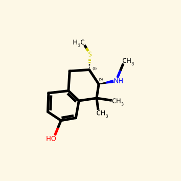 CN[C@@H]1[C@@H](SC)Cc2ccc(O)cc2C1(C)C